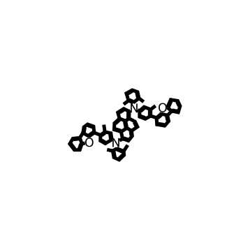 Cc1cc(N(c2c(C)cccc2C)c2ccc3ccc4c(N(c5ccc(-c6cccc7c6oc6ccccc67)c(C)c5)c5c(C)cccc5C)ccc5ccc2c3c54)ccc1-c1cccc2c1oc1ccccc12